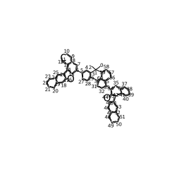 CC1(C)c2cc(-c3cc4ccccc4c4c3oc3cc5ccccc5cc34)ccc2-c2ccc(-c3cc4ccccc4c4c3oc3cc5ccccc5cc34)c3cccc1c23